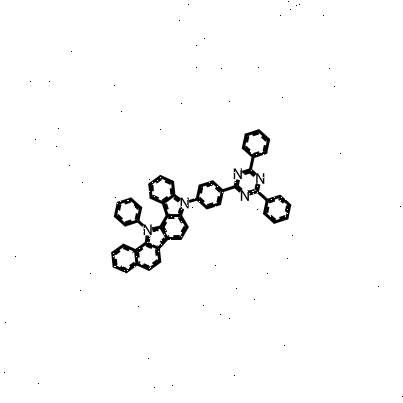 c1ccc(-c2nc(-c3ccccc3)nc(-c3ccc(-n4c5ccccc5c5c4ccc4c6ccc7ccccc7c6n(-c6ccccc6)c45)cc3)n2)cc1